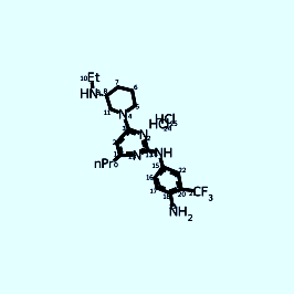 CCCc1cc(N2CCC[C@@H](NCC)C2)nc(Nc2ccc(N)c(C(F)(F)F)c2)n1.Cl.Cl